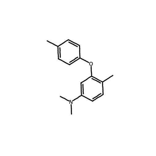 Cc1ccc(Oc2cc(N(C)C)ccc2C)cc1